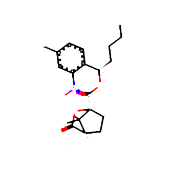 CCCC[C@@H](OC(=O)[C@@]12CC[C@@](C)(C(=O)O1)C2(C)C)c1ccc(I)cc1[N+](=O)[O-]